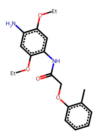 CCOc1cc(NC(=O)COc2ccccc2C)c(OCC)cc1N